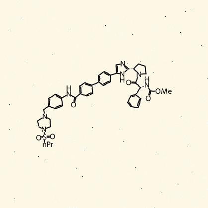 CCCS(=O)(=O)N1CCN(Cc2ccc(NC(=O)c3ccc(-c4ccc(-c5cnc([C@@H]6CCCN6C(=O)[C@H](NC(=O)OC)c6ccccc6)[nH]5)cc4)cc3)cc2)CC1